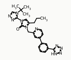 CCCc1cn(-c2nncn2C(C)(C)C)c(=O)n1Cc1cc(-c2cccc(-c3nnn[nH]3)c2)ccn1